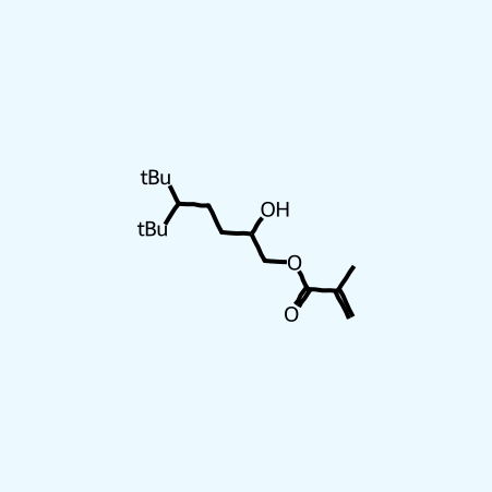 C=C(C)C(=O)OCC(O)CCC(C(C)(C)C)C(C)(C)C